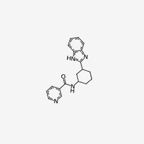 O=C(NC1CCCC(c2nc3ccccc3[nH]2)C1)c1cccnc1